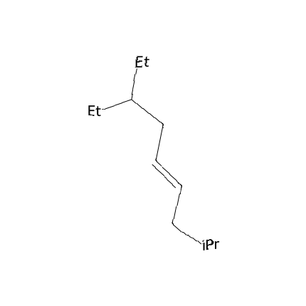 [CH2]C(C)CC=CCC(CC)CC